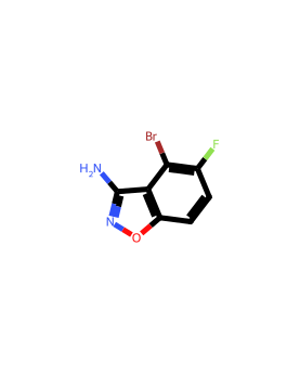 Nc1noc2ccc(F)c(Br)c12